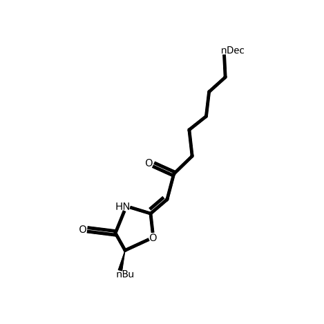 CCCCCCCCCCCCCCCC(=O)/C=C1\NC(=O)[C@H](CCCC)O1